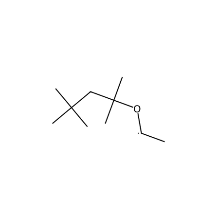 C[CH]OC(C)(C)CC(C)(C)C